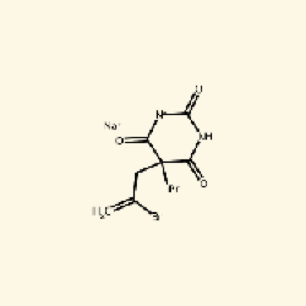 C=C(Br)CC1(C(C)C)C(=O)[N-]C(=O)NC1=O.[Na+]